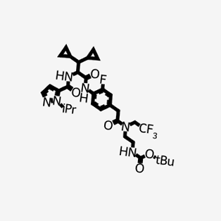 CC(C)n1nccc1C(=O)NC(C(=O)Nc1ccc(CC(=O)N(CCNC(=O)OC(C)(C)C)CC(F)(F)F)cc1F)C(C1CC1)C1CC1